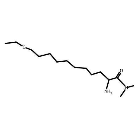 CCCCCCCCCCCCC(N)C(=O)N(C)C